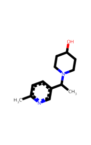 Cc1ccc(C(C)N2CCC(O)CC2)cn1